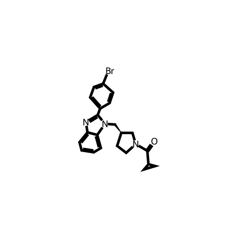 O=C(C1CC1)N1CC[C@@H](Cn2c(-c3ccc(Br)cc3)nc3ccccc32)C1